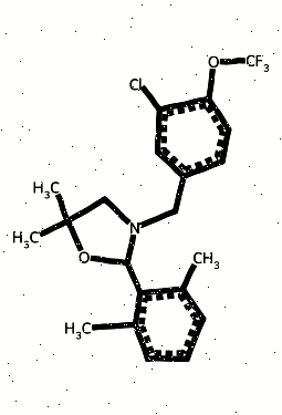 Cc1cccc(C)c1C1OC(C)(C)CN1Cc1ccc(OC(F)(F)F)c(Cl)c1